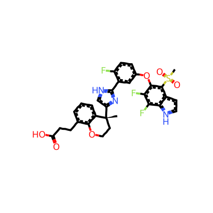 C[C@@]1(c2c[nH]c(-c3cc(Oc4c(F)c(F)c5[nH]ccc5c4S(C)(=O)=O)ccc3F)n2)CCOc2c(CCC(=O)O)cccc21